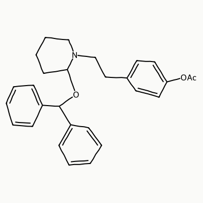 CC(=O)Oc1ccc(CCN2CCCCC2OC(c2ccccc2)c2ccccc2)cc1